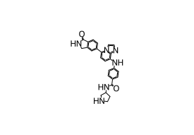 O=C(NC1CCNC1)c1ccc(Nc2ccc(-c3ccc4c(c3)CNC4=O)n3ccnc23)cc1